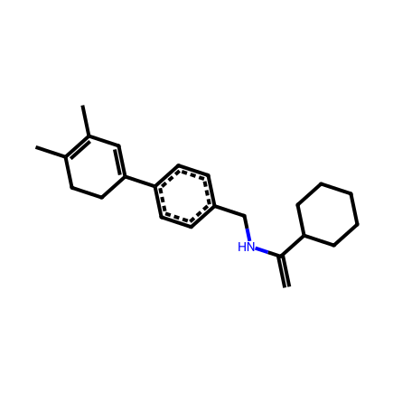 C=C(NCc1ccc(C2=CC(C)=C(C)CC2)cc1)C1CCCCC1